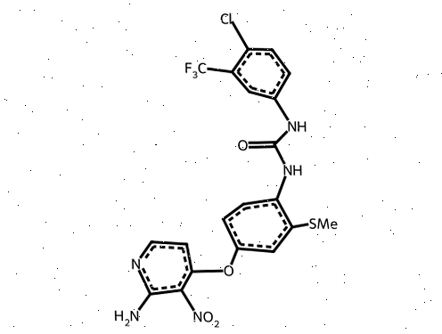 CSc1cc(Oc2ccnc(N)c2[N+](=O)[O-])ccc1NC(=O)Nc1ccc(Cl)c(C(F)(F)F)c1